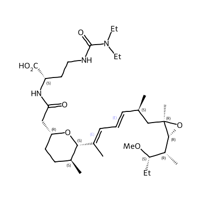 CC[C@H](OC)[C@@H](C)[C@H]1O[C@]1(C)C[C@H](C)/C=C/C=C(\C)[C@H]1O[C@@H](CC(=O)N[C@@H](CCNC(=O)N(CC)CC)C(=O)O)CC[C@@H]1C